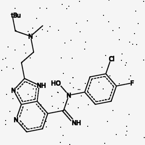 CN(CCc1nc2nccc(C(=N)N(O)c3ccc(F)c(Cl)c3)c2[nH]1)CC(C)(C)C